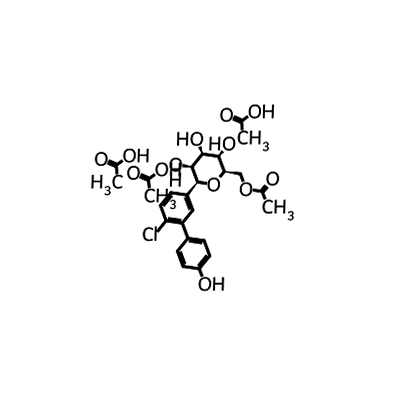 CC(=O)O.CC(=O)O.CC(=O)O.CC(=O)OC[C@H]1O[C@@H](c2ccc(Cl)c(-c3ccc(O)cc3)c2)[C@@H](O)[C@@H](O)[C@H]1O